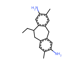 CCC1Cc2cc(C)c(N)cc2Cc2cc(C)c(N)cc21